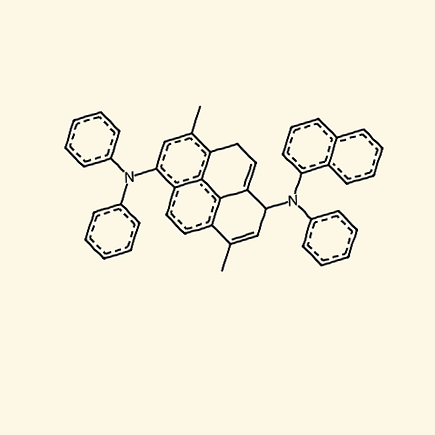 CC1=CC(N(c2ccccc2)c2cccc3ccccc23)C2=CCc3c(C)cc(N(c4ccccc4)c4ccccc4)c4ccc1c2c34